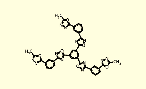 Cc1nnc(-c2cccc(-c3noc(-c4cc(-c5nc(-c6cccc(-c7nnc(C)o7)c6)no5)cc(-c5nc(-c6cccc(-c7nnc(C)o7)c6)no5)c4)n3)c2)o1